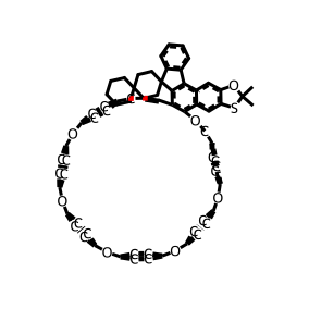 CC1(C)Oc2cc3c4c(c5c(c3cc2S1)OCc1ccc(cc1)Oc1ccc(cc1)Oc1ccc(cc1)Oc1ccc(cc1)Oc1ccc(cc1)Oc1ccc(cc1)C/C=C\5)C1(CCC2(CCCCC2)CC1)c1ccccc1-4